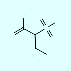 CCC(C(=O)O)S(=O)(=O)O.[NaH].[NaH]